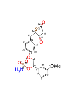 COc1cccc(C(COc2ccc(CC3SC(=O)CC3=O)cc2)OS(N)(=O)=O)c1